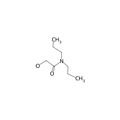 CCCN(CCC)C(=O)C[O]